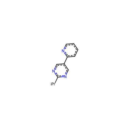 CC(C)c1ncc(-c2ccccn2)cn1